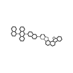 C1=C(c2ccc3cc(-c4c5ccccc5c(-c5cccc6ccccc56)c5ccccc45)ccc3c2)CC2C(=C1)Cc1c2ccc2ccc3c4ccccc4oc3c12